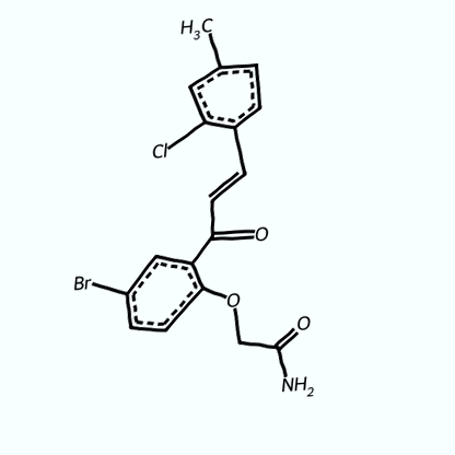 Cc1ccc(/C=C/C(=O)c2cc(Br)ccc2OCC(N)=O)c(Cl)c1